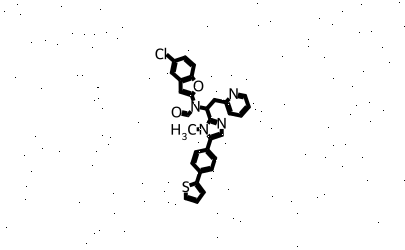 Cn1c(-c2ccc(-c3cccs3)cc2)cnc1C(Cc1ccccn1)N(C=O)c1cc2cc(Cl)ccc2o1